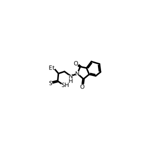 CCC(CNN1C(=O)c2ccccc2C1=O)C(=S)S